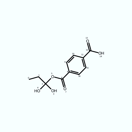 CCC(O)(O)OC(=O)c1ccc(C(=O)O)cc1